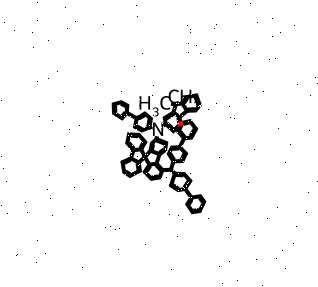 CC1(C)c2ccccc2-c2ccc(N(c3ccc(-c4ccccc4)cc3)c3ccc4c(c3)C3(c5ccccc5-c5ccccc53)c3cccc(C(c5ccc(-c6ccccc6)cc5)c5ccc(-c6ccccc6)cc5)c3-4)cc21